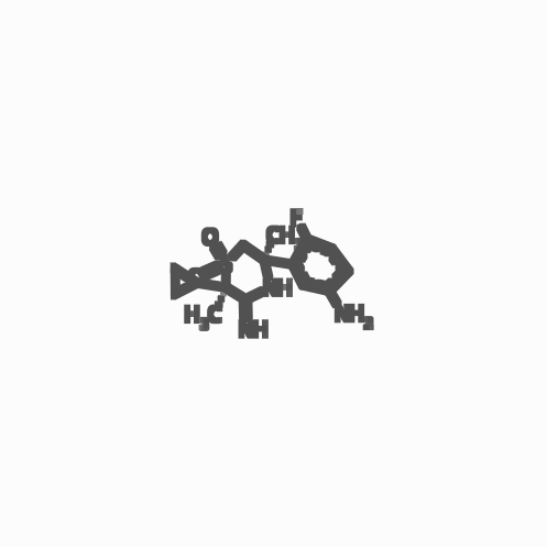 C[C@@]1(C2CC2)C(=N)N[C@](C)(c2cc(N)ccc2F)CS1(=O)=O